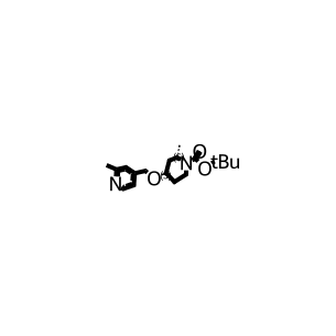 Cc1cc(CO[C@H]2CCN(C(=O)OC(C)(C)C)[C@@H](C)C2)ccn1